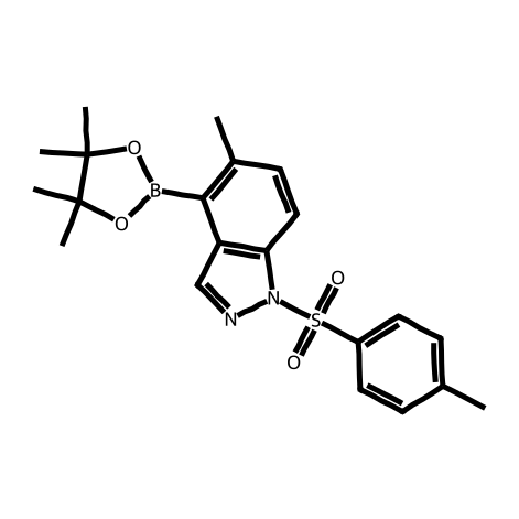 Cc1ccc(S(=O)(=O)n2ncc3c(B4OC(C)(C)C(C)(C)O4)c(C)ccc32)cc1